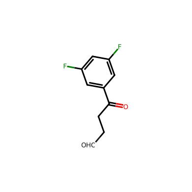 O=CCCC(=O)c1cc(F)cc(F)c1